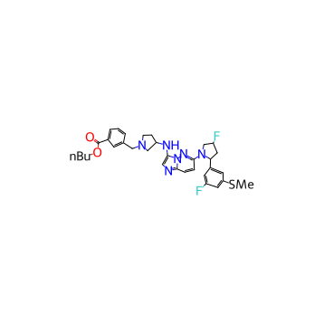 CCCCOC(=O)c1cccc(CN2CCC(Nc3cnc4ccc(N5CC(F)CC5c5cc(F)cc(SC)c5)nn34)C2)c1